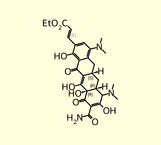 CCOC(=O)/C=C/c1cc(N(C)C)c2c(c1O)C(=O)C1=C(O)[C@@]3(O)C(=O)C(C(N)=O)=C(O)C(N(C)C)[C@H]3C[C@H]1C2